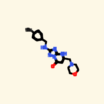 CC(C)(C)c1ccc(CNc2nc3[nH]c(CN4CCOCC4)cc(=O)n3n2)cc1